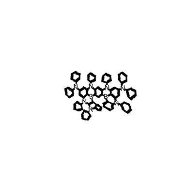 c1ccc(N(c2ccccc2)c2cc3c4c(c2)N(c2ccccc2)c2cc5c(cc2B4c2ccccc2N3c2ccccc2)B2c3c(cc(N(c4ccccc4)c4ccccc4)cc3N(c3ccccc3)c3c2c2ccccc2n3-c2ccccc2)N5c2ccccc2)cc1